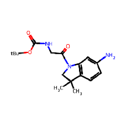 CC(C)(C)OC(=O)NCC(=O)N1CC(C)(C)c2ccc(N)cc21